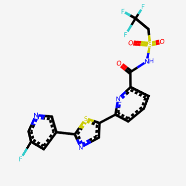 O=C(NS(=O)(=O)CC(F)(F)F)c1cccc(-c2cnc(-c3cncc(F)c3)s2)n1